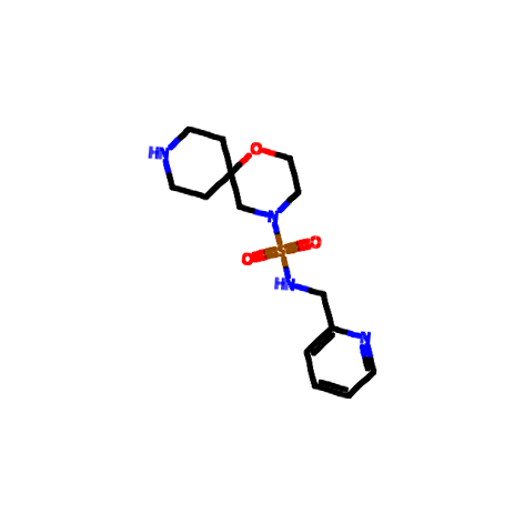 O=S(=O)(NCc1ccccn1)N1CCOC2(CCNCC2)C1